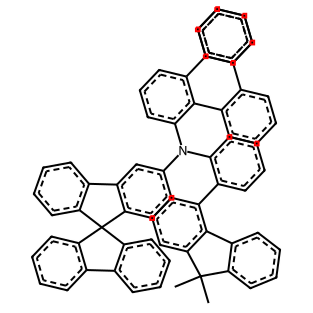 CC1(C)c2ccccc2-c2c(-c3ccccc3N(c3ccc4c(c3)-c3ccccc3C43c4ccccc4-c4ccccc43)c3cccc(-c4ccccc4)c3-c3ccccc3-c3ccccc3)cccc21